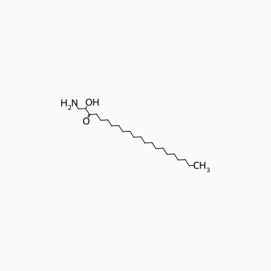 CCCCCCCCCCCCCCCCCCCC(=O)C(O)CN